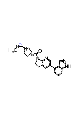 C/N=C\N1CC[C@H](C(=O)N2CCc3cc(-c4cccc5[nH]ncc45)cnc32)C1